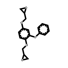 c1ccc(Oc2cc(OCC3CO3)ccc2OCC2CO2)cc1